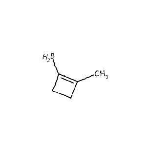 BC1=C(C)CC1